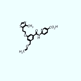 C=COCc1cc(OCCc2scnc2C)cc(C(=O)Nc2ccc(C(=O)O)cn2)c1